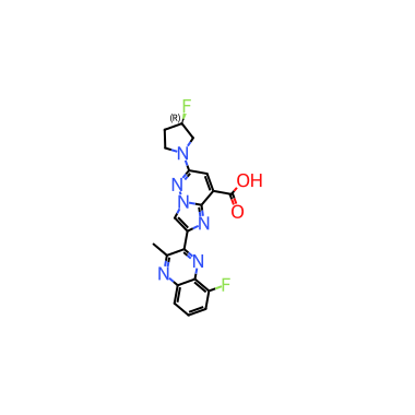 Cc1nc2cccc(F)c2nc1-c1cn2nc(N3CC[C@@H](F)C3)cc(C(=O)O)c2n1